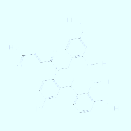 COc1ccc(CN(C(=O)/C=C/C(=O)O)c2ccc(Br)cc2C(O)c2cccc(OC)c2OC)c(OC)c1